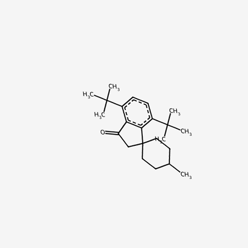 CC1CCC2(CC1)CC(=O)c1c(C(C)(C)C)ccc(C(C)(C)C)c12